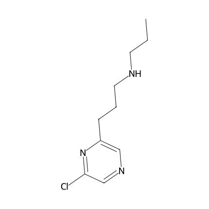 CCCNCCCc1cncc(Cl)n1